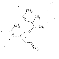 C=CCC(/C=C\C)COC(C)C(C)/C=C\C